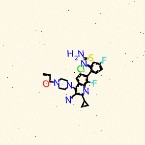 C=CC(=O)N1CCN(c2c(C#N)c(C3CC3)nc3c(F)c(-c4ccc(F)c5sc(N)nc45)c(Cl)cc23)CC1